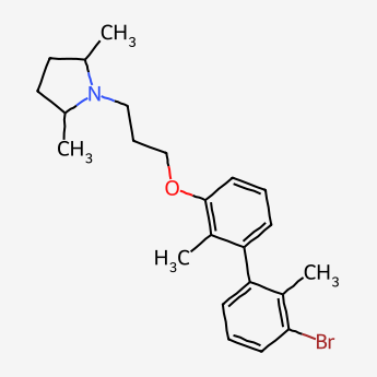 Cc1c(Br)cccc1-c1cccc(OCCCN2C(C)CCC2C)c1C